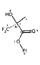 CCOC(=O)[C@](C)(O)C(F)(F)F